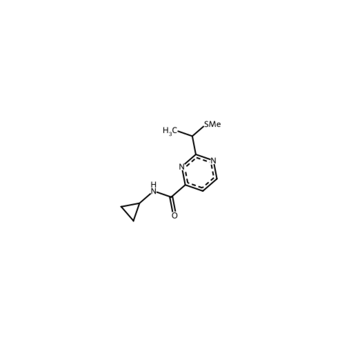 CSC(C)c1nccc(C(=O)NC2CC2)n1